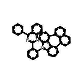 c1ccc(-c2nc(-c3ccccc3-n3c4cccc5c4c4c(cccc43)-c3cccc4cccc-5c34)nc3ccccc23)cc1